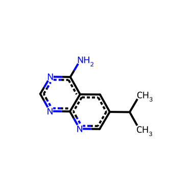 CC(C)c1cnc2ncnc(N)c2c1